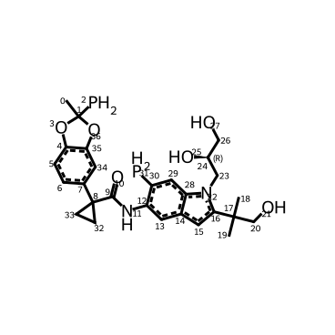 CC1(P)Oc2ccc(C3(C(=O)Nc4cc5cc(C(C)(C)CO)n(C[C@@H](O)CO)c5cc4P)CC3)cc2O1